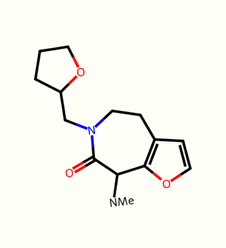 CNC1C(=O)N(CC2CCCO2)CCc2ccoc21